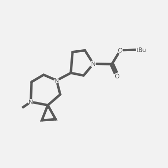 CN1CCN(C2CCN(C(=O)OC(C)(C)C)C2)CC12CC2